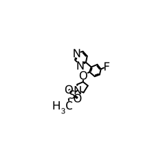 CCS(=O)(=O)N1CCC(Oc2ccc(F)cc2-c2ccncn2)C1